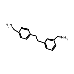 NCc1ccc(CCc2cccc(CN)c2)cc1